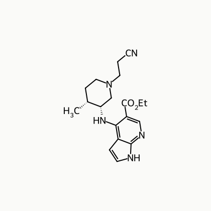 CCOC(=O)c1cnc2[nH]ccc2c1N[C@H]1CN(CCC#N)CC[C@H]1C